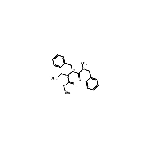 CN(Cc1ccccc1)C(=O)[C@H](Cc1ccccc1)N(CC=O)C(=O)OC(C)(C)C